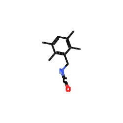 Cc1cc(C)c(C)c(CN=C=O)c1C